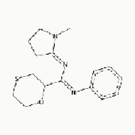 CN1CCCC1=NC(=Nc1ccccc1)C1CSCCO1